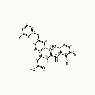 Cc1cccc(Cc2ccc(C(CC(=O)O)NC(=O)Nc3c(O)ccn(C)c3=O)cc2)c1